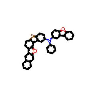 c1ccc(N(c2ccc3oc4ccccc4c3c2)c2ccc3sc4ccc5c6cc7ccccc7cc6oc5c4c3c2)cc1